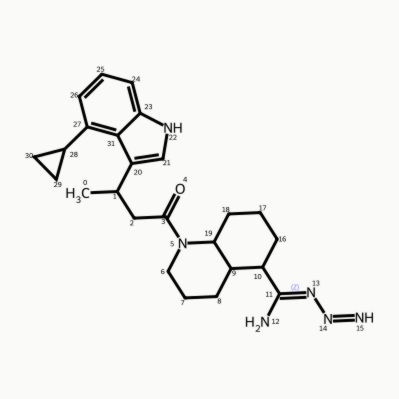 CC(CC(=O)N1CCCC2C(/C(N)=N/N=N)CCCC21)c1c[nH]c2cccc(C3CC3)c12